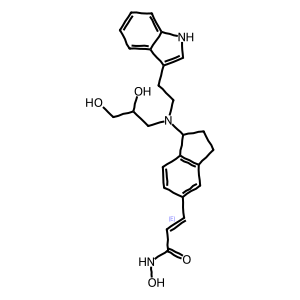 O=C(/C=C/c1ccc2c(c1)CCC2N(CCc1c[nH]c2ccccc12)CC(O)CO)NO